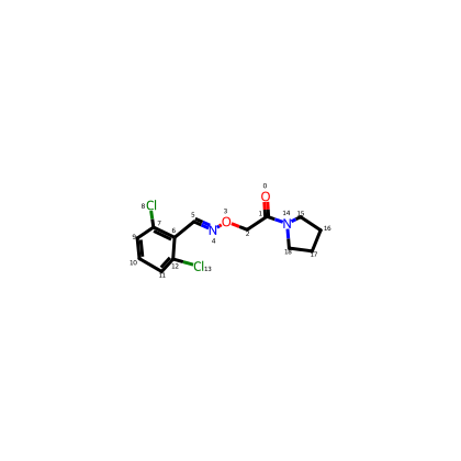 O=C(CON=Cc1c(Cl)cccc1Cl)N1CCCC1